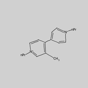 CCC[n+]1ccc(-c2cc[n+](CCC)cc2C)cc1